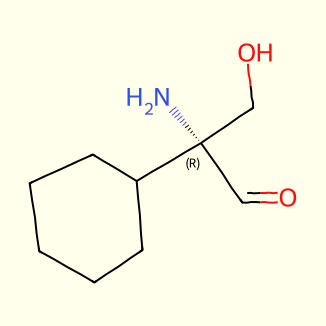 N[C@@](C=O)(CO)C1CCCCC1